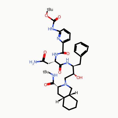 CC(C)(C)NC(=O)[C@H]1C[C@H]2CCCC[C@H]2CN1C[C@H](O)[C@H](Cc1ccccc1)NC(=O)[C@H](CC(N)=O)NC(=O)c1cccc(NC(=O)OC(C)(C)C)n1